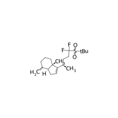 C=C1CCC[C@]2(C)C([C@H](C)CCC(F)(F)S(=O)(=O)C(C)(C)C)=CC[C@@H]12